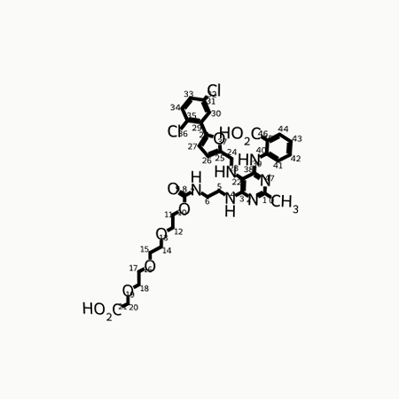 Cc1nc(NCCNC(=O)OCCOCCOCCOCC(=O)O)c(NCc2ccc(-c3cc(Cl)ccc3Cl)o2)c(Nc2ccccc2C(=O)O)n1